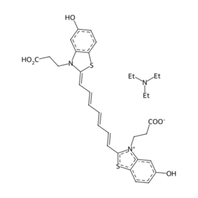 CCN(CC)CC.O=C([O-])CC[n+]1c(C=CC=CC=CC=C2Sc3ccc(O)cc3N2CCC(=O)O)sc2ccc(O)cc21